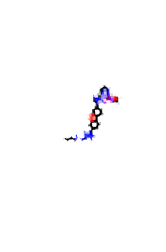 CCCCNCc1ncc(-c2ccc3c(c2)oc2cc(-c4cnc([C@@H]5CCCN5C(=O)OC(C)(C)C)[nH]4)ccc23)[nH]1